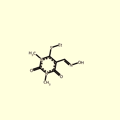 CCSc1c(C=NO)c(=O)n(C)c(=O)n1C